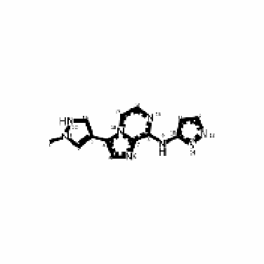 CN1C=C(c2cnc3c(Nc4ccns4)nccn23)CN1